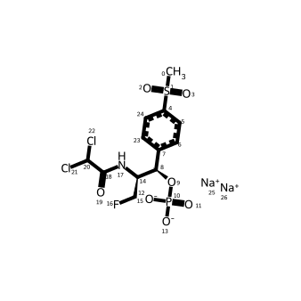 CS(=O)(=O)c1ccc([C@@H](OP(=O)([O-])[O-])[C@@H](CF)NC(=O)C(Cl)Cl)cc1.[Na+].[Na+]